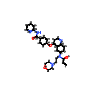 C=CC(=O)N(CCN1CCOCC1)c1ccc2nccc(Oc3ccc(C(=O)Nc4ccccn4)cc3)c2c1